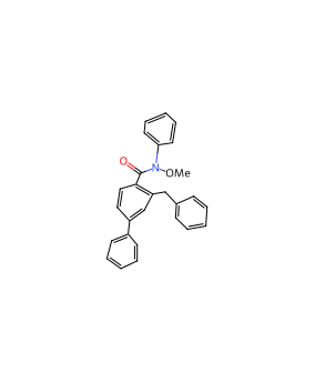 CON(C(=O)c1ccc(-c2ccccc2)cc1Cc1ccccc1)c1ccccc1